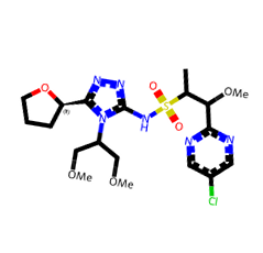 COCC(COC)n1c(NS(=O)(=O)C(C)C(OC)c2ncc(Cl)cn2)nnc1[C@H]1CCCO1